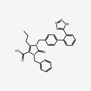 CCCc1c(C(=O)O)n(Cc2ccccc2)c(=O)n1Cc1ccc(-c2ccccc2-c2nnn[nH]2)cc1